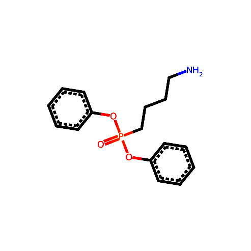 NCCCCP(=O)(Oc1ccccc1)Oc1ccccc1